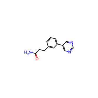 NC(=O)CCc1cccc(-c2cncnc2)c1